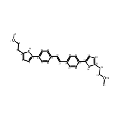 COCCc1ccc(-c2ccc(/C=C/c3ccc(-c4ccc(CCOC)s4)cc3)cc2)s1